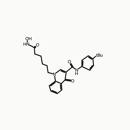 CC(C)(C)c1ccc(NC(=O)c2cn(CCCCCC(=O)NO)c3ccccc3c2=O)cc1